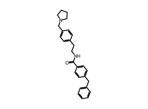 O=C(NCCc1ccc(CN2CCCC2)cc1)c1ccc(Cc2ccccc2)cc1